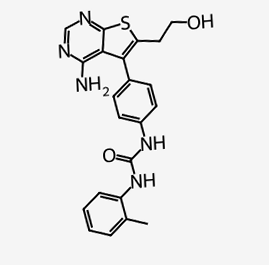 Cc1ccccc1NC(=O)Nc1ccc(-c2c(CCO)sc3ncnc(N)c23)cc1